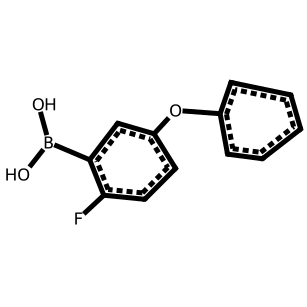 OB(O)c1cc(Oc2ccccc2)ccc1F